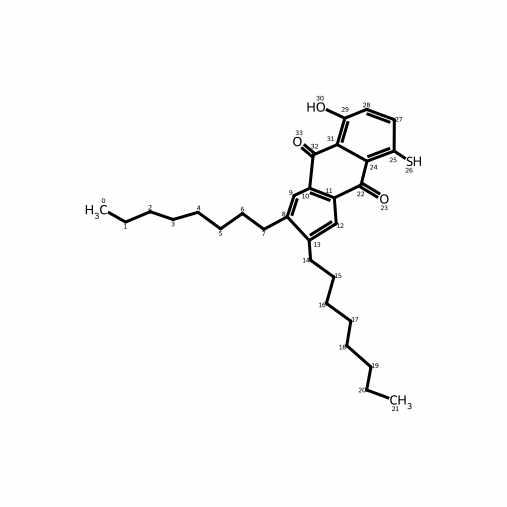 CCCCCCCCc1cc2c(cc1CCCCCCCC)C(=O)c1c(S)ccc(O)c1C2=O